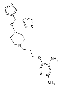 Cc1ccc(OCCCN2CCC(OC(c3ccsc3)c3ccsc3)CC2)c(N)c1